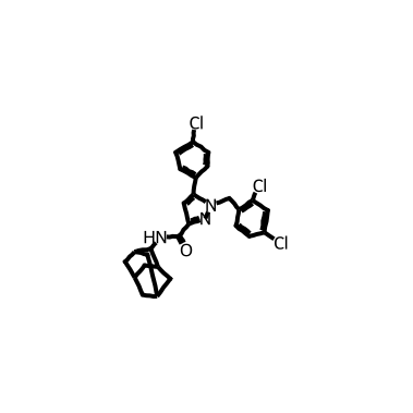 O=C(NC1C2CC3CC(C2)CC1C3)c1cc(-c2ccc(Cl)cc2)n(Cc2ccc(Cl)cc2Cl)n1